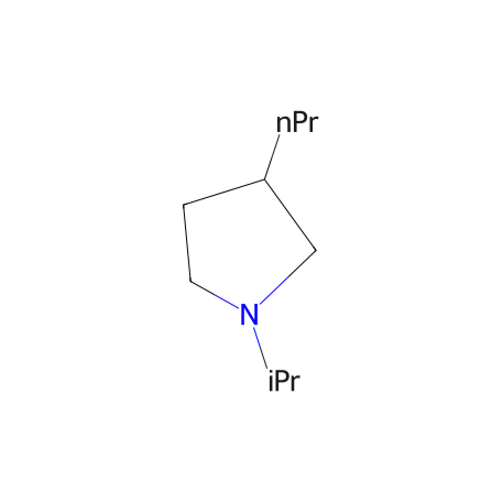 CCCC1CCN(C(C)C)C1